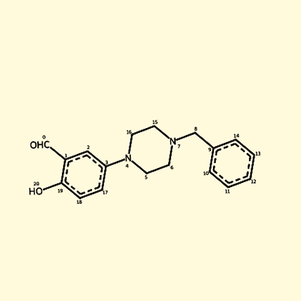 O=Cc1cc(N2CCN(Cc3ccccc3)CC2)ccc1O